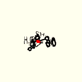 CC1C=CC2C(C1)OC1(C)CC=CCC1(C)C21C2=C(CCC(C3CC=CCC3)=C2)Oc2cc(C3CC=Cc4c3c3ccccc3n4C3C=CC=CC3)ccc21